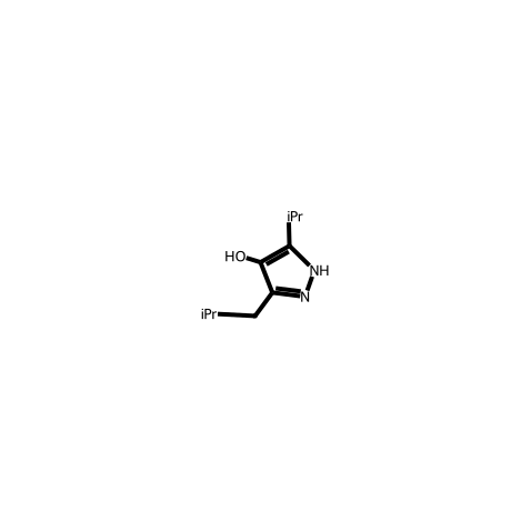 CC(C)Cc1n[nH]c(C(C)C)c1O